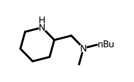 CCCCN(C)CC1CCCCN1